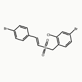 O=S(=O)(C=Cc1ccc(Br)cc1)Cc1ccc(Br)cc1Cl